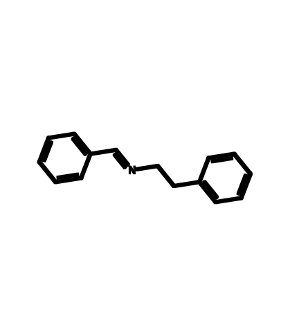 C(=NCCc1ccccc1)c1ccccc1